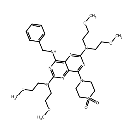 COCCN(CCOC)c1nc(N2CCS(=O)(=O)CC2)c2nc(N(CCOC)CCOC)nc(NCc3ccccc3)c2n1